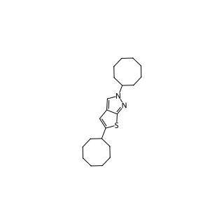 c1c(C2CCCCCCC2)sc2nn(C3CCCCCCC3)cc12